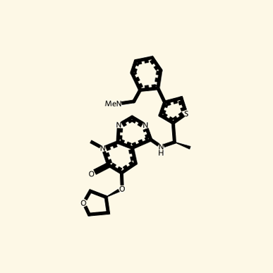 CNCc1ccccc1-c1csc([C@@H](C)Nc2ncnc3c2cc(O[C@H]2CCOC2)c(=O)n3C)c1